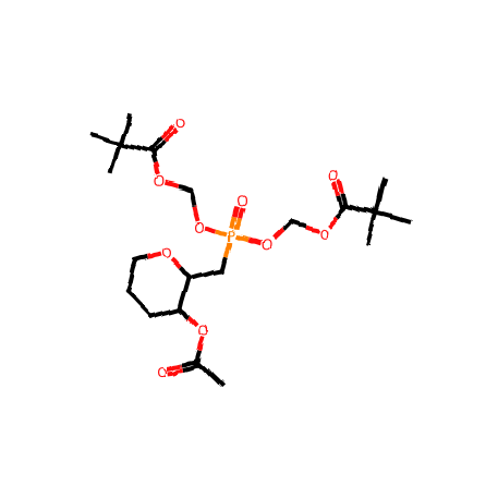 CC(=O)OC1CCCOC1CP(=O)(OCOC(=O)C(C)(C)C)OCOC(=O)C(C)(C)C